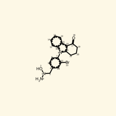 NN(O)Cc1ccc(-n2c3c(c4ccccc42)C(=O)CCC3)c(Br)c1